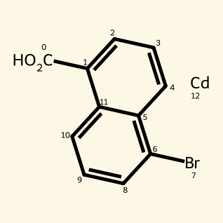 O=C(O)c1cccc2c(Br)cccc12.[Cd]